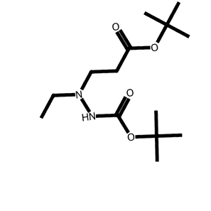 CCN(CCC(=O)OC(C)(C)C)NC(=O)OC(C)(C)C